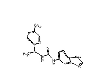 COc1ccc([C@H](C)NC(=S)Nc2ccc3[nH]cnc3c2)cc1